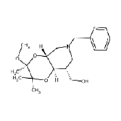 CO[C@@]1(C)O[C@@H]2CN(Cc3ccccc3)C[C@H](CO)[C@H]2OC1(C)C